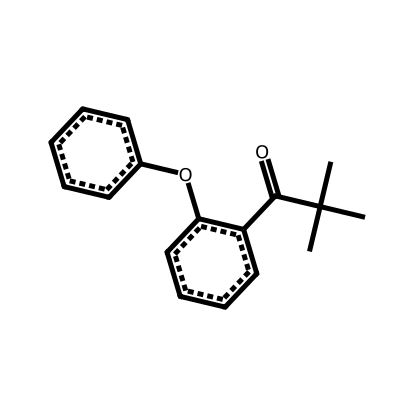 CC(C)(C)C(=O)c1ccccc1Oc1ccccc1